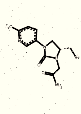 CC(C)C[C@H]1CN(c2ccc(C(F)(F)F)nc2)C(=O)N1CC(N)=O